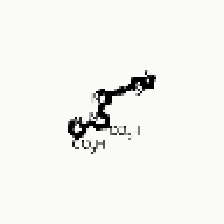 O=C(O)c1ccnc(-c2cc(C(=O)O)cc(-c3cc(C#Cc4cc5sccc5s4)ccn3)n2)c1